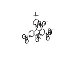 CC(C)(C)c1cc[n+](C(c2ccc([N+](=O)[O-])cc2[N+](=O)[O-])c2ccc([N+](=O)[O-])cc2[N+](=O)[O-])cc1.[Br-]